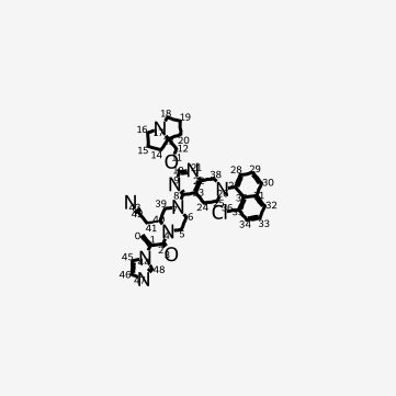 C=C(C(=O)N1CCN(c2nc(OCC34CCCN3CCC4)nc3c2CCN(c2cccc4cccc(Cl)c24)C3)C[C@@H]1CC#N)n1ccnc1